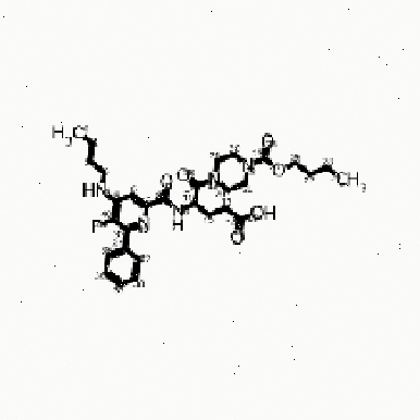 CCCCNc1cc(C(=O)NC(CCC(=O)O)C(=O)N2CCN(C(=O)OCCCC)CC2)nc(-c2ccccc2)c1F